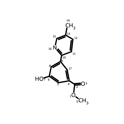 COC(=O)c1cc(O)cc(-c2ccc(C)cn2)c1